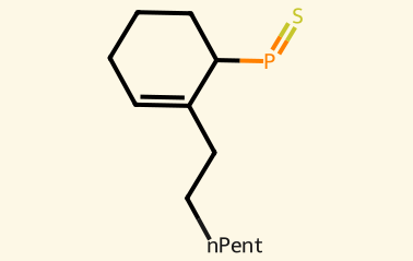 CCCCCCCC1=CCCCC1P=S